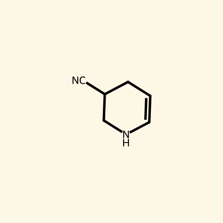 N#CC1CC=CNC1